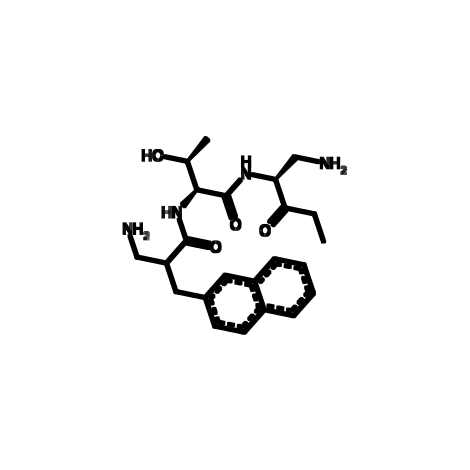 CCC(=O)[C@H](CN)NC(=O)[C@@H](NC(=O)C(CN)Cc1ccc2ccccc2c1)[C@H](C)O